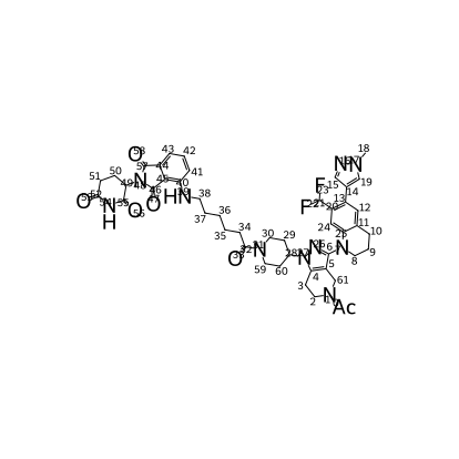 CC(=O)N1CCc2c(c(N3CCCc4cc(-c5cnn(C)c5)c(C(F)F)cc43)nn2C2CCN(C(=O)CCCCCNc3cccc4c3C(=O)N(C3CCC(=O)NC3=O)C4=O)CC2)C1